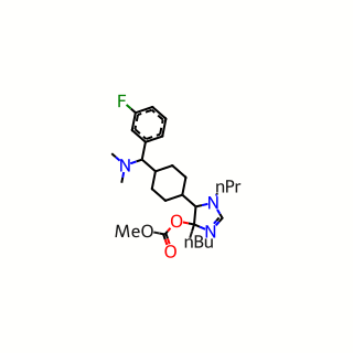 CCCCC1(OC(=O)OC)N=CN(CCC)C1C1CCC(C(c2cccc(F)c2)N(C)C)CC1